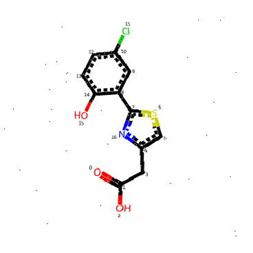 O=C(O)Cc1csc(-c2cc(Cl)ccc2O)n1